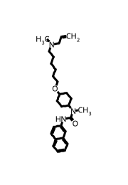 C=CCN(C)CCCCCCOC1CCC(N(C)C(=O)Nc2ccc3ccccc3c2)CC1